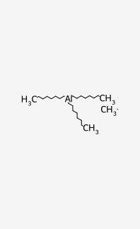 CCCCCCC[CH2][Al]([CH2]CCCCCCC)[CH2]CCCCCCC.[CH3]